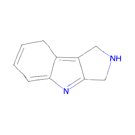 C1=CCC2=C3CNCC3=NC2=C1